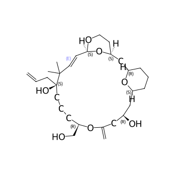 C=CC[C@@]1(O)CCC[C@H](CO)OC(=C)C[C@H](O)C[C@@H]2CCC[C@H](C[C@@H]3CCO[C@H](/C=C/C1(C)C)O3)O2